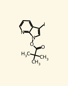 CC(C)(C)C(=O)On1cc(I)c2cccnc21